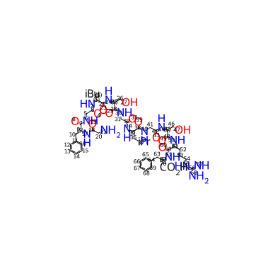 CC[C@H](C)[C@H](NC(=O)CNC(=O)[C@H](Cc1ccccc1)NC(=O)CN)C(=O)N[C@@H](CO)C(=O)NCC(=O)N[C@@H](CC(C)C)C(=O)NCC(=O)N[C@@H](CO)C(=O)N[C@@H](CCCNC(=N)N)C(=O)N[C@@H](Cc1ccccc1)C(=O)O